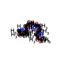 CCC(C)(C)C(=O)NCC(C)(C)COCC(C)(C)CNC(=O)CC(C)(C)COCC(C)(C)CNC(=O)[C@@H](N)CCC(=O)NCC(C)(C)COCC(C)(C)CC(=O)NCC(C)(C)COCC(C)(C)CNC(=O)C(C)(C)CP(C)C